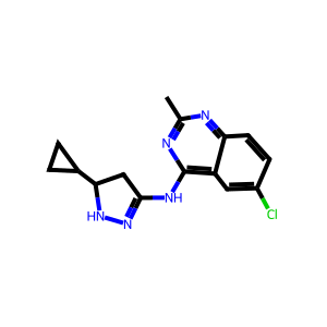 Cc1nc(NC2=NNC(C3CC3)C2)c2cc(Cl)ccc2n1